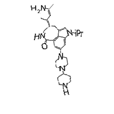 C/C(N)=C/C(C)=C1/CNC(=O)c2cc(N3CCN(C4CCNCC4)CC3)cc3c2c(cn3C(C)C)C1